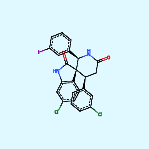 O=C1C[C@@H](c2cccc(Cl)c2)[C@]2(C(=O)Nc3cc(Cl)ccc32)[C@@H](c2cccc(I)c2)N1